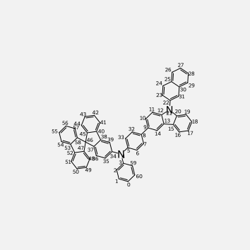 c1ccc(N(c2ccc(-c3ccc4c(c3)c3ccccc3n4-c3ccc4ccccc4c3)cc2)c2ccc3c(c2)-c2ccccc2C32c3ccccc3-c3ccccc32)cc1